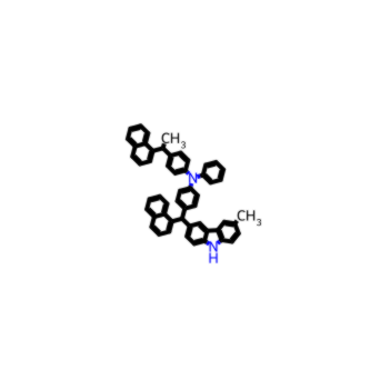 Cc1ccc2[nH]c3ccc(C(c4ccc(N(c5ccccc5)c5ccc(C(C)c6cccc7ccccc67)cc5)cc4)c4cccc5ccccc45)cc3c2c1